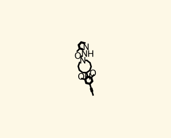 CC#Cc1cc(C)c(C2C(=O)CCCN(C(=O)Nc3ncccc3C)CCCC2O)c(C)c1